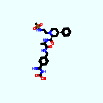 CC(NC(=O)[C@H]1C[C@@H](c2ccccc2)CCN1CCNS(C)(=O)=O)C(=O)NCc1ccc(C(=N)NC(=O)O)cc1